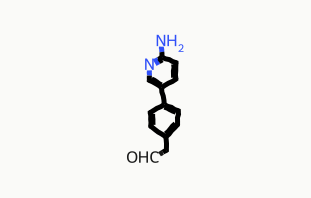 Nc1ccc(-c2ccc(CC=O)cc2)cn1